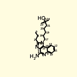 CCCc1nc2c(N)nc3ccccc3c2n1CCCCCC(C)(C)O